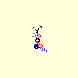 CC(C)CC(CNC(=O)N[C@H]1CC[C@H](Oc2ncccc2C(N)=O)CC1)CC(C)C